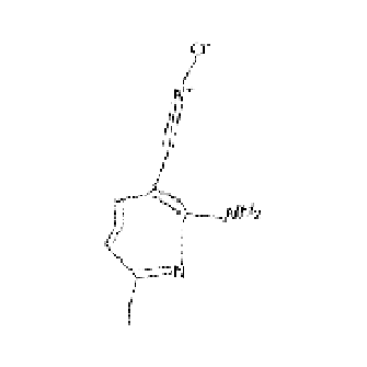 Cc1ccc(C#[N+][O-])c(N)n1